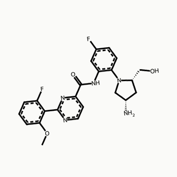 COc1cccc(F)c1-c1nccc(C(=O)Nc2cc(F)ccc2N2C[C@@H](N)C[C@H]2CO)n1